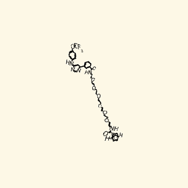 O=C(NCCOCCOCCOCCOCCOCCOCCNC(=O)[C@@H]1C[C@@H]2C=C[C@H]1C2)c1cccc(-c2cc(Nc3ccc(OC(F)(F)F)cc3)ncn2)c1